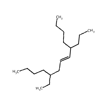 CCCCC(/C=C/CC(CC)CCCC)CCC